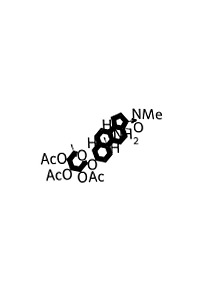 CNC(=O)[C@H]1CC[C@]2(N)[C@@H]3CC[C@@H]4C[C@@H](O[C@@H]5O[C@@H](C)[C@H](OC(C)=O)[C@@H](OC(C)=O)[C@H]5OC(C)=O)CC[C@]4(C)[C@H]3CC[C@]12C